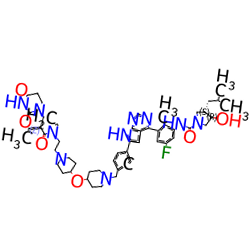 C=CN(CCN1CCC(OC2CCN(Cc3ccc(-c4cc5c(-c6cc(F)cc(NC(=O)N7C[C@H](CC(C)C)[C@@H](O)C7)c6C)ncnc5[nH]4)cc3)CC2)CC1)C(=O)/C(=C\C)CN1CCC(=O)NC1=O